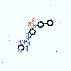 N#CN=C(NCc1ccc(N(c2ccc(-c3ccccc3)cc2)[SH](=O)=O)cc1)Nc1ccncc1